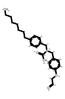 CCCCCCCCc1ccc(CN(Cc2ccc(OCC=O)cc2)C(C)=O)cc1